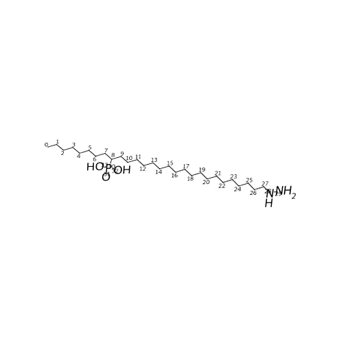 CCCCCCCCC(CCCCCCCCCCCCCCCCCCCNN)P(=O)(O)O